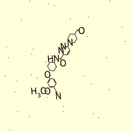 COc1cc(OC2CCC(NC(=O)c3ccc(N4CCC(C=O)CC4)nn3)CC2)ccc1C#N